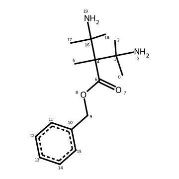 CC(C)(N)C(C)(C(=O)OCc1ccccc1)C(C)(C)N